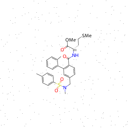 COC(=O)[C@H](CCSC)NC(=O)c1ccc(CN(C)S(=O)(=O)c2ccc(C)cc2)cc1-c1ccccc1C